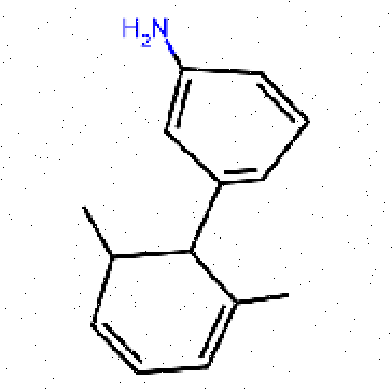 CC1=CC=CC(C)C1c1cccc(N)c1